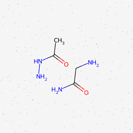 CC(=O)NN.NCC(N)=O